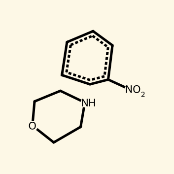 C1COCCN1.O=[N+]([O-])c1ccccc1